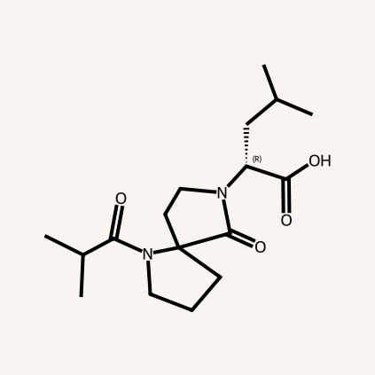 CC(C)C[C@H](C(=O)O)N1CCC2(CCCN2C(=O)C(C)C)C1=O